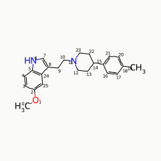 COc1ccc2[nH]cc(CCN3CCC(c4ccc(C)cc4)CC3)c2c1